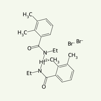 CC[N]([Hf+2][N](CC)C(=O)c1cccc(C)c1C)C(=O)c1cccc(C)c1C.[Br-].[Br-]